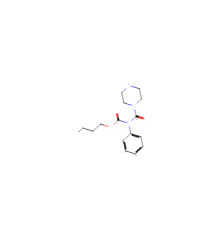 CCCCOC(=O)N(C(=O)N1CCNCC1)c1[c]cccc1